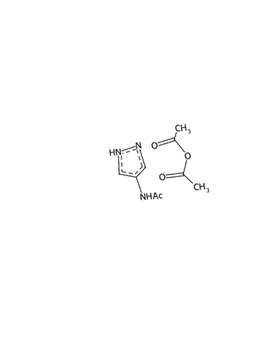 CC(=O)Nc1cn[nH]c1.CC(=O)OC(C)=O